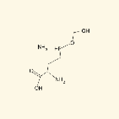 N.NC(CCPOCO)C(=O)O